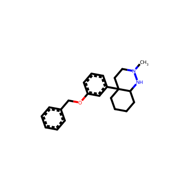 CN1CCC2(c3cccc(OCc4ccccc4)c3)CCCCC2N1